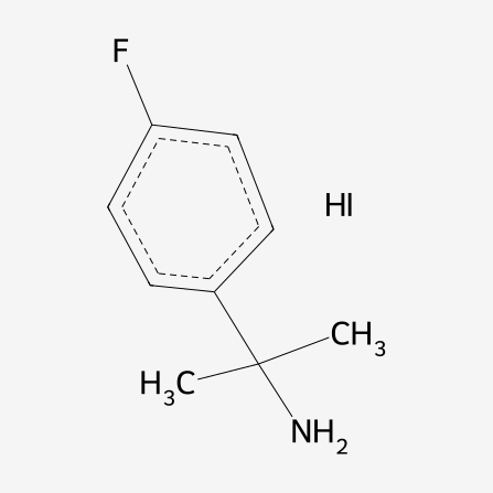 CC(C)(N)c1ccc(F)cc1.I